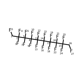 FCC(F)(F)C(F)(F)C(F)(F)C(F)(F)C(F)(F)C(F)(F)C(F)(F)C(F)(F)CF